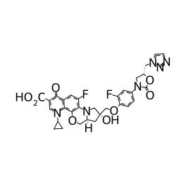 O=C(O)c1cn(C2CC2)c2c3c(c(F)cc2c1=O)N1C[C@@](O)(COc2ccc(N4C[C@H](Cn5ccnn5)OC4=O)cc2F)C[C@H]1CO3